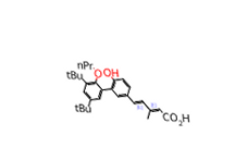 CCCOc1c(-c2cc(/C=C/C(C)=C/C(=O)O)ccc2O)cc(C(C)(C)C)cc1C(C)(C)C